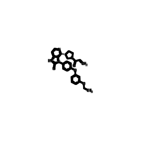 C=CC(=O)N1CC[C@@H](c2nccc3[nH]c(=O)n(-c4ccc(Oc5cccc(OCC)c5)cc4)c23)C1